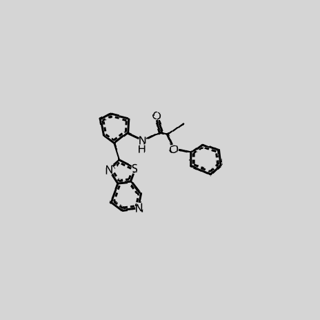 CC(Oc1ccccc1)C(=O)Nc1ccccc1-c1nc2ccncc2s1